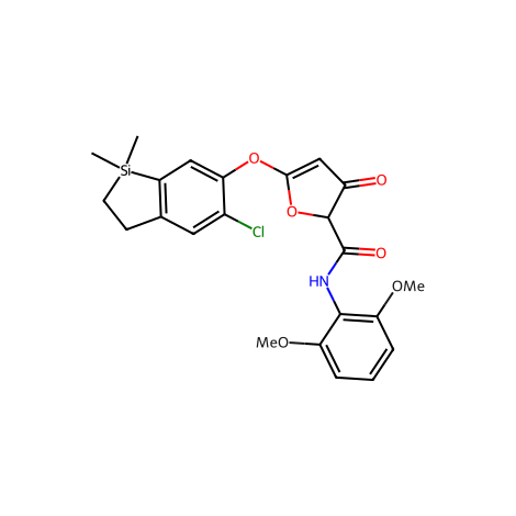 COc1cccc(OC)c1NC(=O)C1OC(Oc2cc3c(cc2Cl)CC[Si]3(C)C)=CC1=O